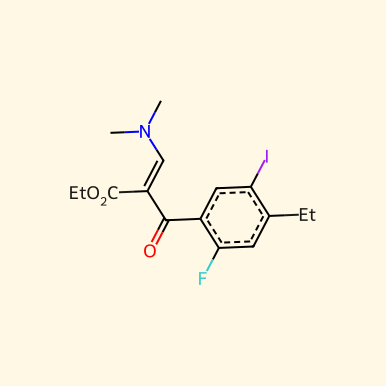 CCOC(=O)C(=CN(C)C)C(=O)c1cc(I)c(CC)cc1F